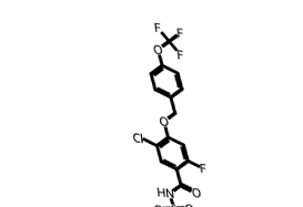 CS(=O)(=O)NC(=O)c1cc(Cl)c(OCc2ccc(OC(F)(F)F)cc2)cc1F